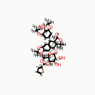 [2H]C([2H])([2H])Oc1cc([C@@H]2c3cc4c(cc3[C@@H](O[C@@H]3O[C@H]5[C@@H](O[C@H](c6cccs6)OC5([2H])[2H])[C@H](O)[C@H]3O)[C@@H]3[C@@H]2C(=O)OC3([2H])[2H])OC([2H])([2H])O4)cc(OC([2H])([2H])[2H])c1O